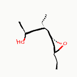 [CH2][C@@H]1O[C@H]1[C@@H](C)[C@H](C)O